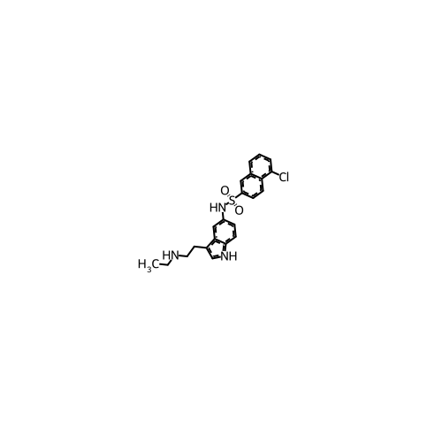 CCNCCc1c[nH]c2ccc(NS(=O)(=O)c3ccc4c(Cl)cccc4c3)cc12